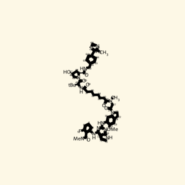 CNC(=O)c1c(F)cccc1Nc1nc(Nc2cc3c(cc2OC)CCN3C(=O)CN(C)C(=O)CCCCCCC(=O)N[C@H](C(=O)N2C[C@H](O)C[C@H]2C(=O)NCc2ccc(-c3scnc3C)cc2)C(C)(C)C)nc2[nH]ccc12